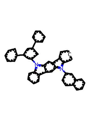 c1ccc(-c2cc(-c3ccccc3)cc(-n3c4ccccc4c4cc5c(cc43)c3ccccc3n5-c3ccc4ccccc4c3)c2)cc1